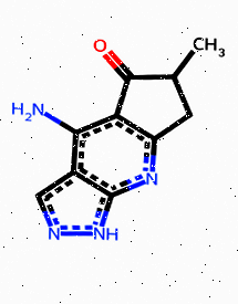 CC1Cc2nc3[nH]ncc3c(N)c2C1=O